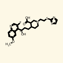 COc1ccc2ncc(F)c([C@H](O)CCC3CCN(CCSc4nccs4)CC3C(=O)O)c2c1